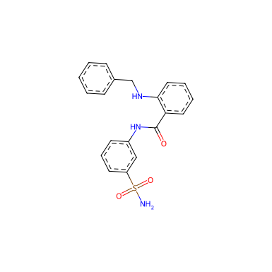 NS(=O)(=O)c1cccc(NC(=O)c2ccccc2NCc2ccccc2)c1